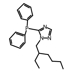 CCCCC(CC)Cn1ncnc1P(c1ccccc1)c1ccccc1